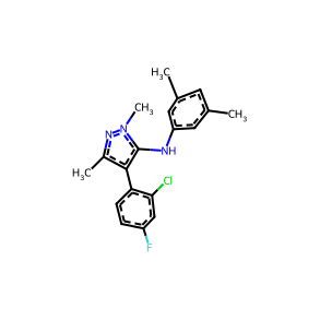 Cc1cc(C)cc(Nc2c(-c3ccc(F)cc3Cl)c(C)nn2C)c1